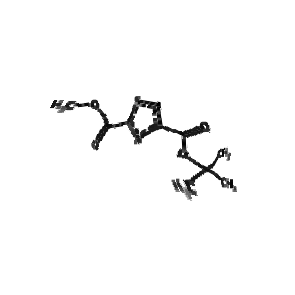 COC(=O)c1nc(C(=O)OC(C)(C)C)cs1